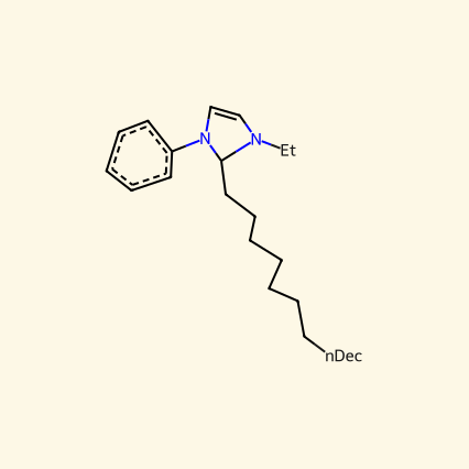 CCCCCCCCCCCCCCCCCC1N(CC)C=CN1c1ccccc1